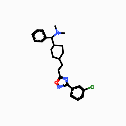 CN(C)C(c1ccccc1)C1CCC(CCc2nc(-c3cccc(Cl)c3)no2)CC1